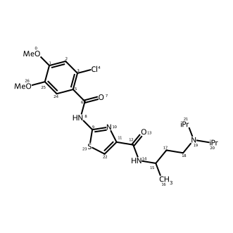 COc1cc(Cl)c(C(=O)Nc2nc(C(=O)NC(C)CCN(C(C)C)C(C)C)cs2)cc1OC